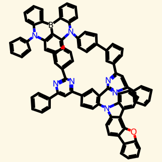 c1ccc(-c2cc(-c3ccc(-n4c5ccccc5c5c6oc7ccccc7c6ccc54)c(-c4nc(-c5ccccc5)cc(-c5cccc(-c6ccc(N7c8ccccc8B8c9ccccc9N(c9ccccc9)c9cccc7c98)cc6)c5)n4)c3)nc(-c3ccccc3)n2)cc1